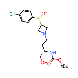 CC(C)(C)OC(=O)N[C@H](CO)CCN1CC([S+]([O-])c2ccc(Cl)cc2)C1